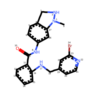 CN1NCc2ccc(NC(=O)c3ccccc3NCc3ccnc(Br)c3)cc21